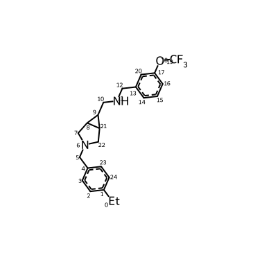 CCc1ccc(CN2CC3C(CNCc4cccc(OC(F)(F)F)c4)C3C2)cc1